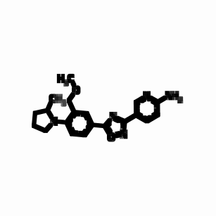 COCc1cc(-c2nc(-c3ccc(N)nc3)no2)ccc1N1CCCC1C